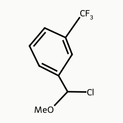 COC(Cl)c1cccc(C(F)(F)F)c1